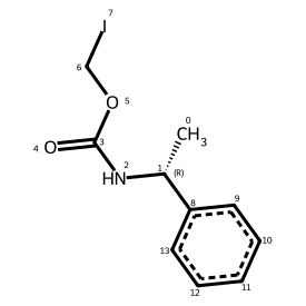 C[C@@H](NC(=O)OCI)c1ccccc1